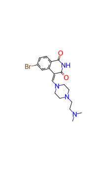 CN(C)CCN1CCN(C=C2C(=O)NC(=O)c3ccc(Br)cc32)CC1